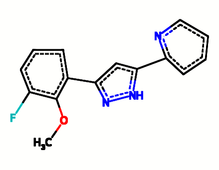 COc1c(F)cccc1-c1cc(-c2ccccn2)[nH]n1